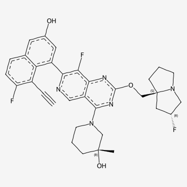 C#Cc1c(F)ccc2cc(O)cc(-c3ncc4c(N5CCC[C@@](C)(O)C5)nc(OC[C@@]56CCCN5C[C@H](F)C6)nc4c3F)c12